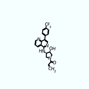 C=CC(=O)N1C[C@H](O)[C@H](Nc2ncc(-c3ccc(C(F)(F)F)cc3)c3ncccc23)C1